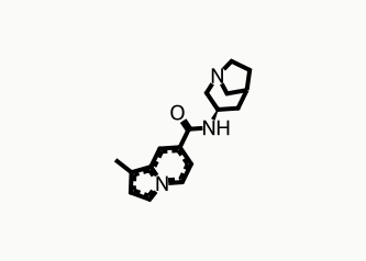 Cc1ccn2ccc(C(=O)N[C@@H]3CC4CCN(C4)C3)cc12